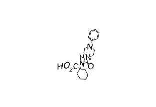 O=C(NC1(C(=O)O)CCCCC1)N1CCN(c2ccccc2)CC1